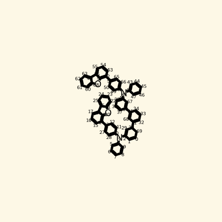 C1=CC(N(c2ccccc2)c2ccc(-c3cccc4c3oc3ccccc34)cc2)=CC(c2cccc(-c3cccc(N(c4ccccc4)c4ccc(-c5cccc6c5oc5ccccc56)cc4)c3)c2)C1